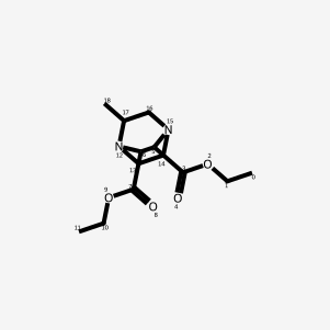 CCOC(=O)C1C(C(=O)OCC)N2CCN1CC2C